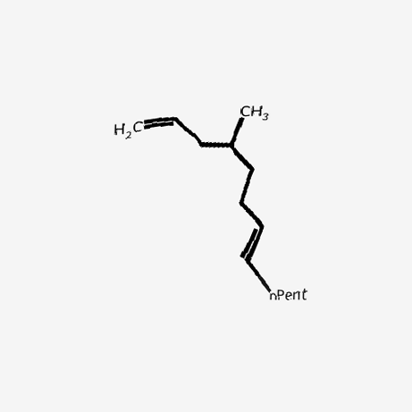 C=CCC(C)CCC=CCCCCC